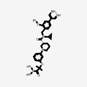 CCCN(CCC)C(=O)C(C)(C)Oc1cccc(N2CCC[C@@H](C(=O)N(Cc3ccc(/C(C=N)=C/N)cc3OC(C)C)C3CC3)C2)c1